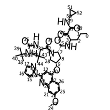 CCCC(NC(=O)[C@@H]1C[C@@H](Oc2cc(-n3cccn3)nc3cc(OC)ccc23)CN1C(=O)[C@@H](NC(=O)NC(C)(C)C)C(C)(C)C)C(=O)C(=O)NC1CC1